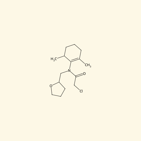 CC1=C(N(CC2CCCO2)C(=O)CCl)C(C)CCC1